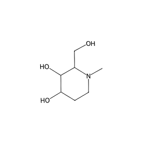 CN1CCC(O)C(O)C1CO